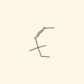 CCC(C)(C)N=C=NC